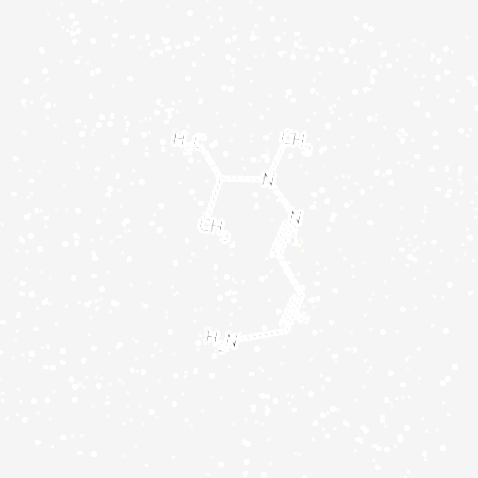 CC(C)N(C)/N=C/C=C\N